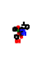 CC(C)c1ccccc1-c1cc(Oc2ccccc2F)nc(NS(=O)(=O)c2cccc(O)c2)n1